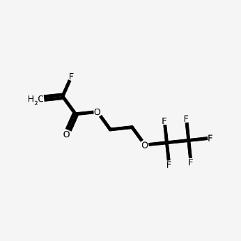 C=C(F)C(=O)OCCOC(F)(F)C(F)(F)F